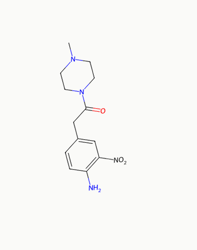 CN1CCN(C(=O)Cc2ccc(N)c([N+](=O)[O-])c2)CC1